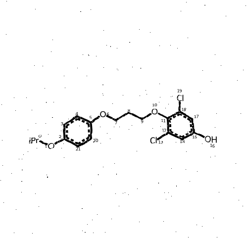 CC(C)Oc1ccc(OCCCOc2c(Cl)cc(O)cc2Cl)cc1